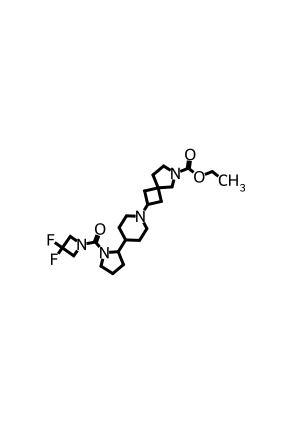 CCOC(=O)N1CCC2(CC(N3CCC(C4CCCN4C(=O)N4CC(F)(F)C4)CC3)C2)C1